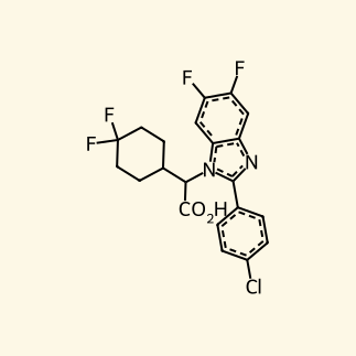 O=C(O)C(C1CCC(F)(F)CC1)n1c(-c2ccc(Cl)cc2)nc2cc(F)c(F)cc21